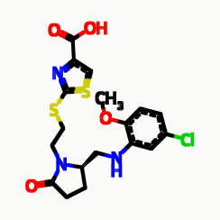 COc1ccc(Cl)cc1NC[C@H]1CCC(=O)N1CCSc1nc(C(=O)O)cs1